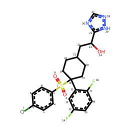 O=S(=O)(c1ccc(Cl)cc1)C1(c2cc(F)ccc2F)CCC(CC(O)c2ncn[nH]2)CC1